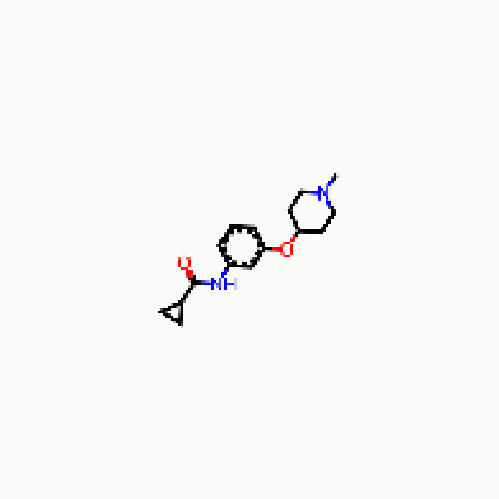 CN1CCC(Oc2cccc(NC(=O)C3CC3)c2)CC1